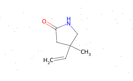 C=CC1(C)CNC(=O)C1